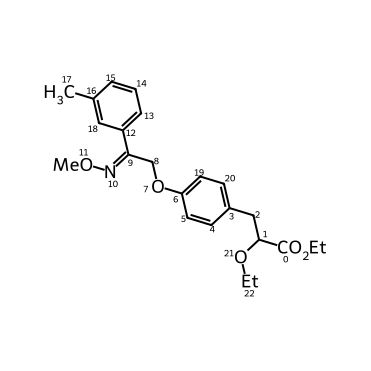 CCOC(=O)C(Cc1ccc(OCC(=NOC)c2cccc(C)c2)cc1)OCC